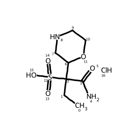 CCC(C(N)=O)(C1CNCCO1)S(=O)(=O)O.Cl